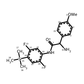 COc1ccc(C(N)C(=O)Nc2cc(F)c([Si](C)(C)C)cc2F)cc1